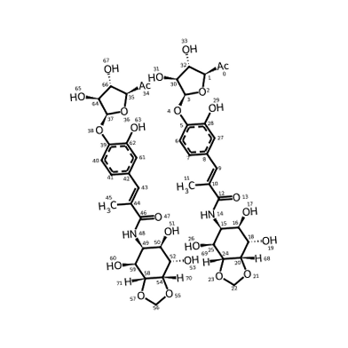 CC(=O)[C@H]1O[C@@H](Oc2ccc(/C=C(\C)C(=O)N[C@H]3[C@@H](O)[C@H](O)[C@@H]4OCO[C@@H]4[C@H]3O)cc2O)[C@@H](O)[C@@H]1O.CC(=O)[C@H]1O[C@@H](Oc2ccc(/C=C(\C)C(=O)N[C@H]3[C@@H](O)[C@H](O)[C@@H]4OCO[C@@H]4[C@H]3O)cc2O)[C@@H](O)[C@@H]1O